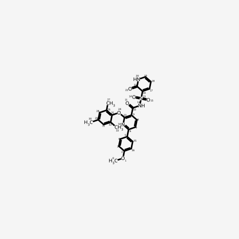 COc1ccc(-c2ccc(C(=O)NS(=O)(=O)c3ccc[nH]c3=O)c(Oc3c(C)cc(C)cc3C)n2)cc1